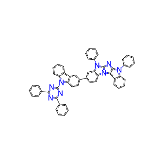 c1ccc(-c2nc(-c3ccccc3)nc(-n3c4ccccc4c4cc(-c5ccc6c(c5)n(-c5ccccc5)c5nc7c(c8ccccc8n7-c7ccccc7)n65)ccc43)n2)cc1